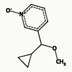 COC(c1ccc[n+]([O-])c1)C1CC1